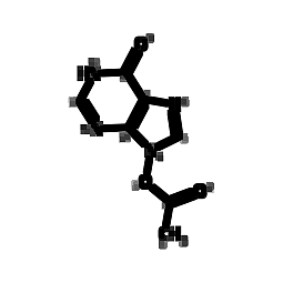 CC(=O)On1cnc2c(=O)[nH]cnc21